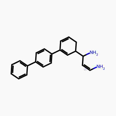 N/C=C\C(N)C1C=C(c2ccc(-c3ccccc3)cc2)C=CC1